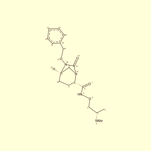 CN[C@@H](C)CONC(=O)[C@@H]1CC[C@@H]2CN1C(=O)N2OCc1ccccc1